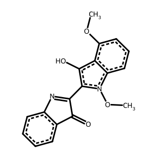 COc1cccc2c1c(O)c(C1=Nc3ccccc3C1=O)n2OC